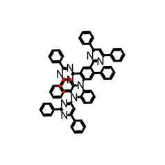 c1ccc(-c2cc(N3c4ccccc4N(c4cc(-c5ccccc5)c(-c5nc(-c6ccccc6)cc(-c6ccccc6)n5)cc4-c4nc(-c5ccccc5)nc(-c5ccccc5)n4)c4ccccc43)nc(-c3ccccc3)n2)cc1